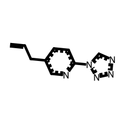 C=CCc1ccc(-n2cnnn2)nc1